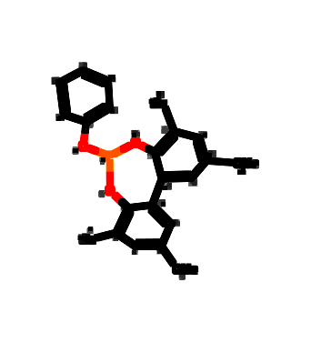 COc1cc(C(C)(C)C)c2op(Oc3ccccc3)oc3c(C(C)(C)C)cc(OC)cc3c2c1